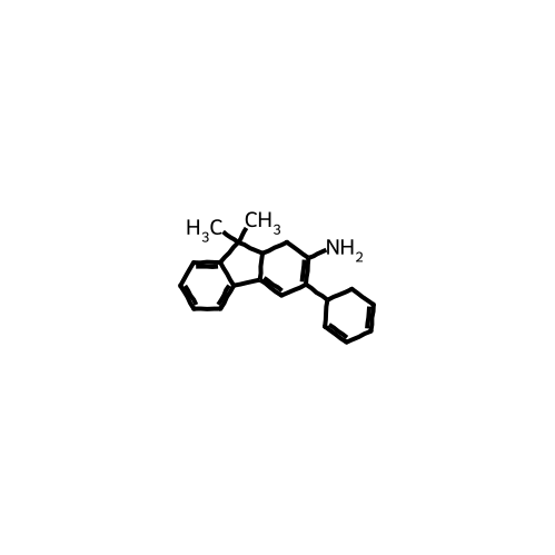 CC1(C)c2ccccc2C2=CC(C3C=CC=CC3)=C(N)CC21